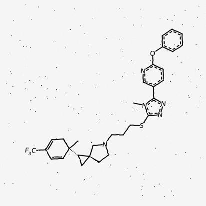 Cn1c(SCCCN2CC[C@]3(C[C@@H]3C3(C)C=CC(C(F)(F)F)=CC3)C2)nnc1-c1ccc(Oc2ccccc2)nc1